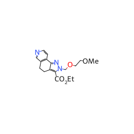 CCOC(=O)c1c2c(nn1COCCOC)-c1ccncc1CC2